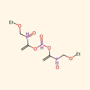 C=C(O[PH](=O)OC(=C)[PH](=O)COCC)[PH](=O)COCC